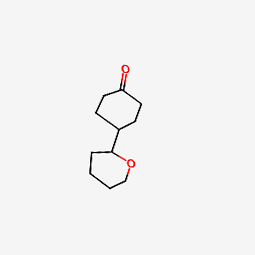 O=C1CCC(C2CCCCO2)CC1